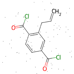 C=CCc1cc(C(=O)Cl)ccc1C(=O)Cl